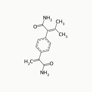 C=C(C(N)=O)c1ccc(C(C(N)=O)=C(C)C)cc1